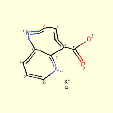 O=C([O-])c1ccnc2cccnc12.[K+]